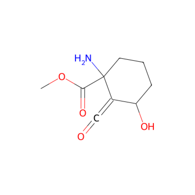 COC(=O)C1(N)CCCC(O)C1=C=O